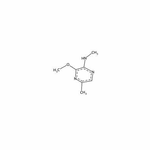 CNc1ncc(C)nc1OC